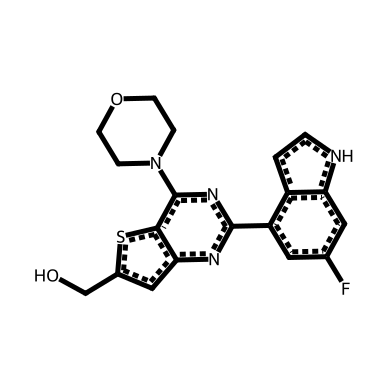 OCc1cc2nc(-c3cc(F)cc4[nH]ccc34)nc(N3CCOCC3)c2s1